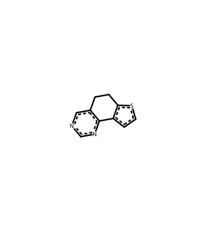 [c]1ncc2c(n1)-c1ccsc1CC2